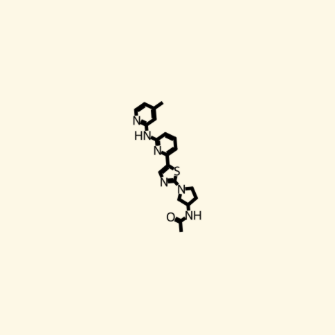 CC(=O)NC1CCN(c2ncc(-c3cccc(Nc4cc(C)ccn4)n3)s2)C1